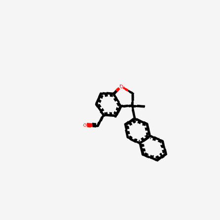 CC1(c2ccc3ccccc3c2)COc2ccc(C=O)cc21